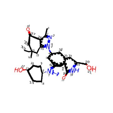 Cc1nn(-c2cc(N[C@H]3CC[C@H](O)CC3)c3c(=O)[nH]c(CO)cc3c2)c2c1C(=O)CC(C)(C)C2